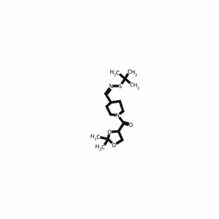 CC1(C)OCC(C(=O)N2CCC(/C=N\SC(C)(C)C)CC2)O1